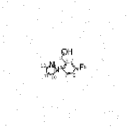 OCc1cc(F)ccc1-n1cccn1